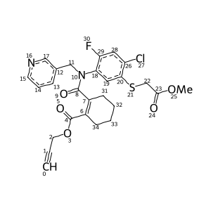 C#CCOC(=O)C1=C(C(=O)N(Cc2cccnc2)c2cc(SCC(=O)OC)c(Cl)cc2F)CCCC1